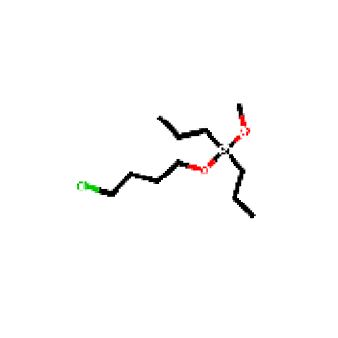 CCC[Si](CCC)(OC)OCCCCCl